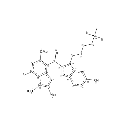 COc1cc(C)c2c(cc(C(C)(C)C)n2C(=O)O)c1C(O)c1cc2ccc(C#N)cc2n1COCC[Si](C)(C)C